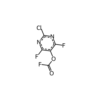 O=C(F)Oc1c(F)nc(Cl)nc1F